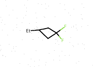 CCC1CC(F)(F)C1